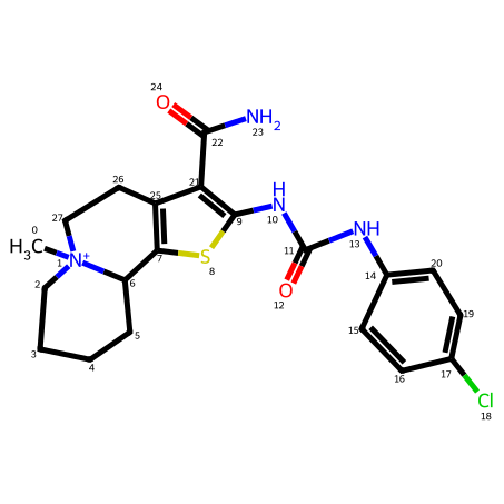 C[N+]12CCCCC1c1sc(NC(=O)Nc3ccc(Cl)cc3)c(C(N)=O)c1CC2